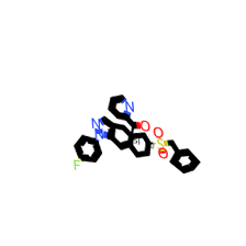 O=C(c1ccccn1)[C@]12Cc3cnn(-c4ccc(F)cc4)c3C=C1CC[C@@H](S(=O)(=O)Cc1ccccc1)C2